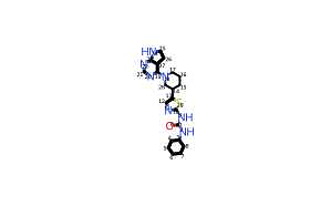 O=C(Nc1ccccc1)Nc1ncc(C2CCCN(c3ncnc4[nH]ccc34)C2)s1